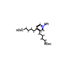 CCCCCCCCCCCCCCc1cc[n+](C(C)C)cc1CCCCCCCCCCCCCC